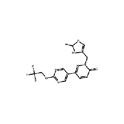 CC1NC(Cn2nc(-c3cnc(OCC(F)(F)F)nc3)ccc2=O)=CO1